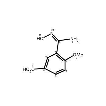 COc1ccc(C(=O)O)cc1/C(N)=N\O